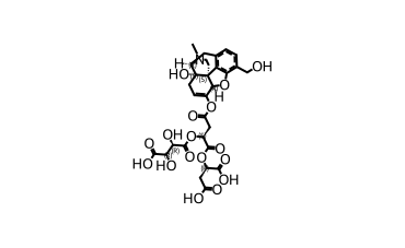 CN1CC[C@]23c4c5ccc(CO)c4O[C@H]2C(OC(=O)C[C@H](OC(=O)[C@H](O)[C@@H](O)C(=O)O)C(=O)O[C@H](CC(=O)O)C(=O)O)=CC[C@@]3(O)[C@H]1C5